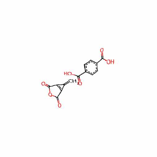 C=C1C2=C1C(=O)OC2=O.O=C(O)c1ccc(C(=O)O)cc1